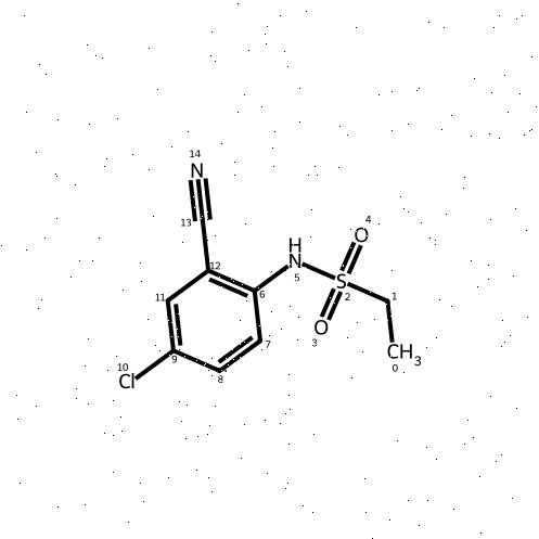 CCS(=O)(=O)Nc1c[c]c(Cl)cc1C#N